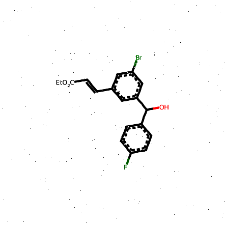 CCOC(=O)C=Cc1cc(Br)cc(C(O)c2ccc(F)cc2)c1